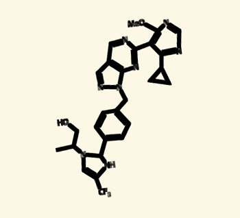 COc1ncnc(C2CC2)c1-c1ncc2cnn(Cc3ccc(C4NC(C(F)(F)F)=CN4C(C)CO)cc3)c2n1